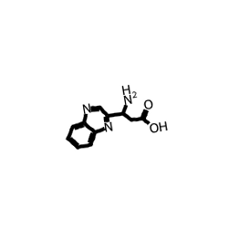 NC(CC(=O)O)c1cnc2ccccc2n1